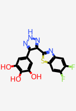 Oc1cc(-c2n[nH]nc2-c2nc3cc(F)c(F)cc3s2)cc(O)c1O